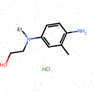 CCN(CCO)c1ccc(N)c(C)c1.Cl